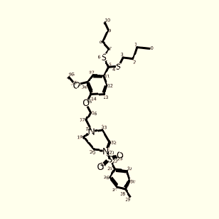 CCCCSC(SCCCC)c1ccc(OCCN2CCN(S(=O)(=O)c3ccc(C)cc3)CC2)c(OC)c1